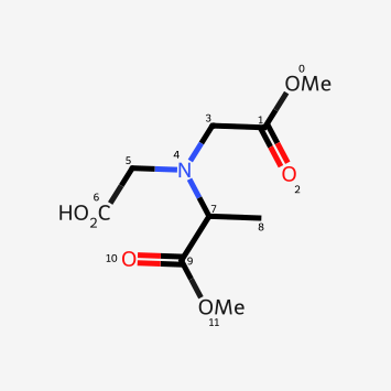 COC(=O)CN(CC(=O)O)C(C)C(=O)OC